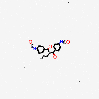 [CH2]CC[C](C(=O)c1ccc(N=C=O)cc1)C(=O)c1ccc(N=C=O)cc1